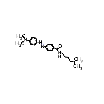 CC(C)CCCCNC(=O)c1ccc(/N=N/c2ccc(N(C)C)cc2)cc1